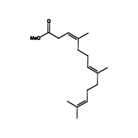 COC(=O)C/C=C(/C)CC/C=C(\C)CCC=C(C)C